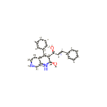 O=C(/C=C/c1ccccc1)c1c(-c2ccccc2)c2ccncc2[nH]c1=O